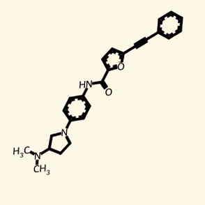 CN(C)C1CCN(c2ccc(NC(=O)c3ccc(C#Cc4ccccc4)o3)cc2)C1